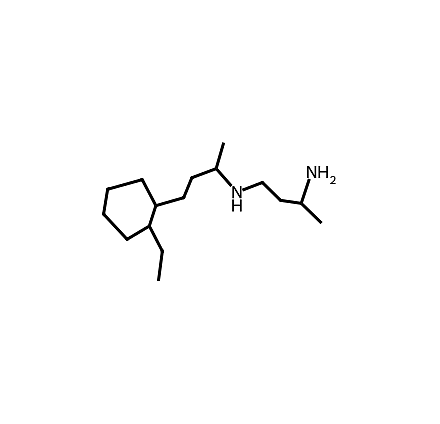 CCC1CCCCC1CCC(C)NCCC(C)N